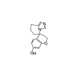 Oc1ccc2c(c1)OCCC21CCCC2=CN=C[N+]21